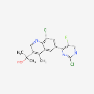 Cc1c(C(C)(C)O)cnc2c(Cl)cc(-c3nc(Cl)ncc3F)cc12